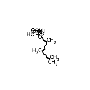 CC(C)=CCCC(C)=CCCC(C)=CCOP(=O)(O)CP(=O)(O)O